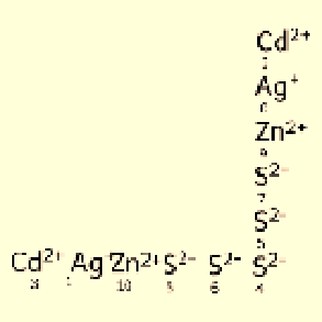 [Ag+].[Ag+].[Cd+2].[Cd+2].[S-2].[S-2].[S-2].[S-2].[S-2].[Zn+2].[Zn+2]